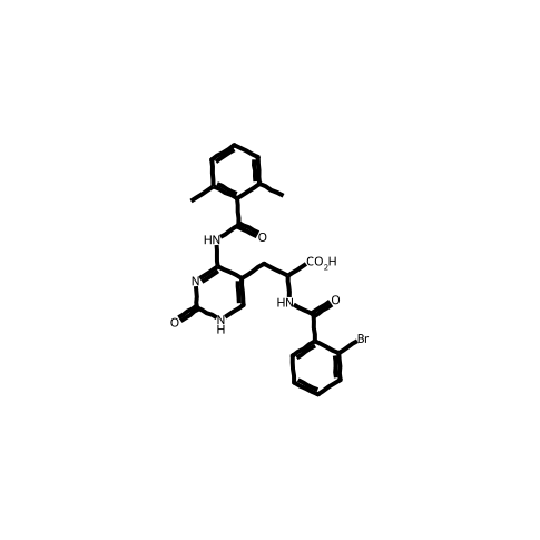 Cc1cccc(C)c1C(=O)Nc1nc(=O)[nH]cc1CC(NC(=O)c1ccccc1Br)C(=O)O